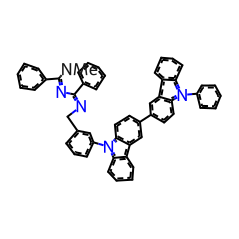 CN/C(=N\C(=N/Cc1cccc(-n2c3ccccc3c3cc(-c4ccc5c(c4)c4ccccc4n5-c4ccccc4)ccc32)c1)c1ccccc1)c1ccccc1